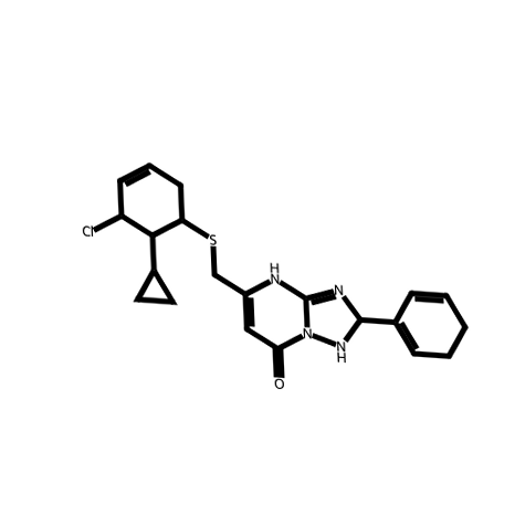 O=C1C=C(CSC2CC=CC(Cl)C2C2CC2)NC2=NC(C3=CCCC=C3)NN12